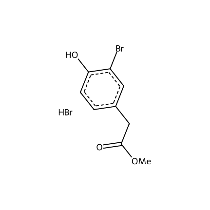 Br.COC(=O)Cc1ccc(O)c(Br)c1